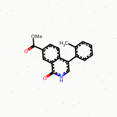 COC(=O)c1ccc2c(-c3ccccc3C)c[nH]c(=O)c2c1